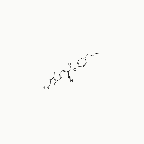 CCCCc1ccc(OC(=O)/C(C#N)=C/c2cc3sc(N)nc3s2)cc1